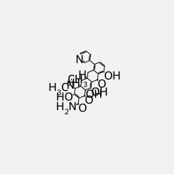 CN(C)[C@@H]1C(O)=C(C(N)=O)C(=O)[C@@]2(O)C(O)=C3C(=O)c4c(O)ccc(-c5cccnc5)c4C[C@H]3C[C@@H]12